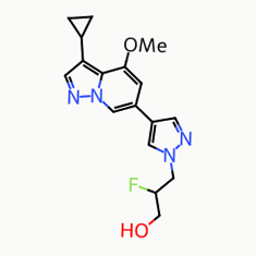 COc1cc(-c2cnn(CC(F)CO)c2)cn2ncc(C3CC3)c12